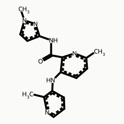 Cc1ccc(Nc2cccnc2C)c(C(=O)Nc2ccn(C)n2)n1